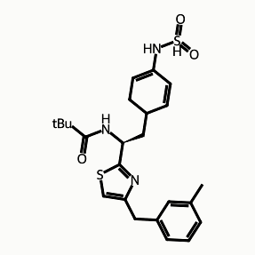 Cc1cccc(Cc2csc([C@H](CC3C=CC(N[SH](=O)=O)=CC3)NC(=O)C(C)(C)C)n2)c1